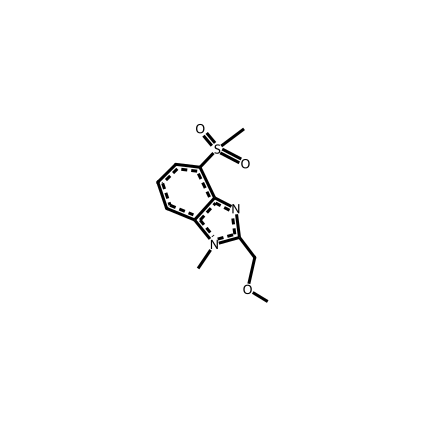 COCc1nc2c(S(C)(=O)=O)cccc2n1C